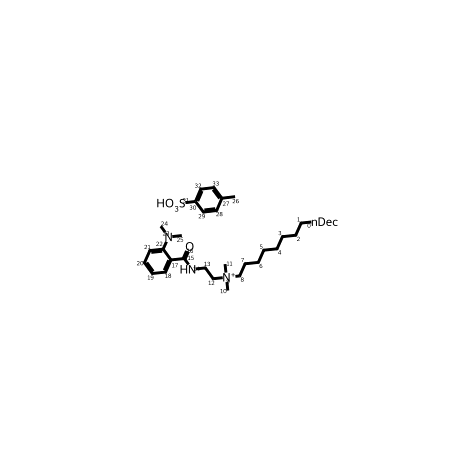 CCCCCCCCCCCCCCCCCC[N+](C)(C)CCNC(=O)c1ccccc1N(C)C.Cc1ccc(S(=O)(=O)O)cc1